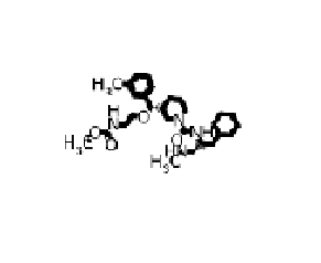 CNC[C@H](CC1CCCCC1)NC(=O)N1CCC[C@@H](C(OCCNC(=O)OC)c2cccc(C)c2)C1